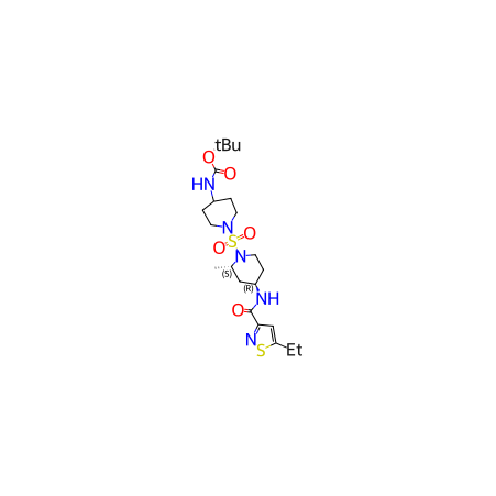 CCc1cc(C(=O)N[C@@H]2CCN(S(=O)(=O)N3CCC(NC(=O)OC(C)(C)C)CC3)[C@@H](C)C2)ns1